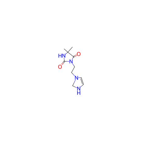 CC1(C)NC(=O)N(CCN2C=CNC2)C1=O